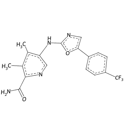 Cc1c(Nc2ncc(-c3ccc(C(F)(F)F)cc3)o2)cnc(C(N)=O)c1C